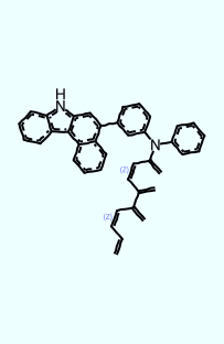 C=C/C=C\C(=C)C(=C)/C=C\C(=C)N(c1ccccc1)c1cccc(-c2cc3[nH]c4ccccc4c3c3ccccc23)c1